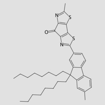 CCCCCCCCC1(CCCCCCCC)c2cc(C)ccc2-c2ccc(-c3nc4c(s3)-c3sc(C)nc3C4=O)cc21